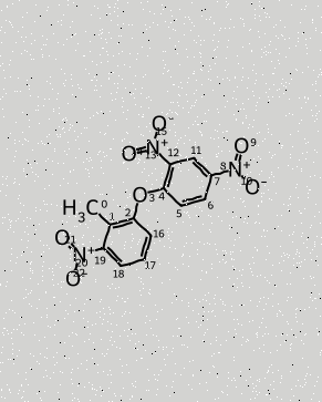 Cc1c(Oc2ccc([N+](=O)[O-])cc2[N+](=O)[O-])cccc1[N+](=O)[O-]